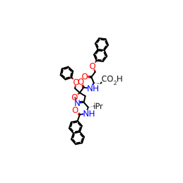 CC(C)[C@H](NC(=O)c1ccc2ccccc2c1)C1=NOC(COc2ccccc2)(C(=O)N[C@@H](CC(=O)O)C(=O)COc2ccc3ccccc3c2)C1